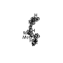 COc1cc(-c2cn(C)c(=O)c3cc(C(=O)NC4CCN(C)CC4(F)F)sc23)cc(OC)c1CN(C)CC(=O)NCCOCCOc1cccc2c1C(=O)N(C1CCC(=O)NC1=O)C2=O